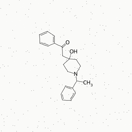 CC(c1ccccc1)N1CCC(O)(CC(=O)c2ccccc2)CC1